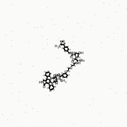 CO[C@@H]1[C@H](N(C)C(=O)c2cccc(OCCOCCC(=O)N[C@H](C(=O)N3C[C@H](O)C[C@H]3C(=O)NCc3ccc(-c4scnc4C)cc3)C(C)(C)C)c2)C[C@H]2O[C@]1(C)n1c3ccccc3c3c4c(c5c6ccccc6n2c5c31)C(=O)NC4